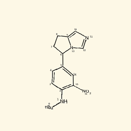 CCCCNc1ccc(C2CCc3cncn32)cc1[N+](=O)[O-]